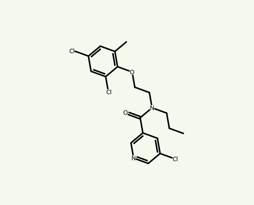 CCCN(CCOc1c(C)cc(Cl)cc1Cl)C(=O)c1cncc(Cl)c1